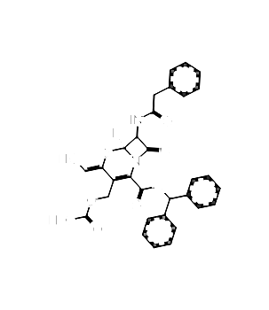 CC(=O)OCC1=C(C(=O)OC(c2ccccc2)c2ccccc2)N2C(=O)C(NC(=O)Cc3ccccc3)[C@@H]2SC1=CO